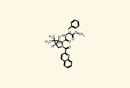 COC(=O)[C@@H](Cc1ccccc1)NC(=O)[C@@H]1[C@@H]2[C@H](CN1C(=O)c1ccc3ccccc3n1)C2(C)C